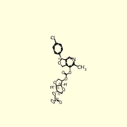 Cc1ncc2c(c1OC(=O)OC1CO[C@@H]3[C@@H](O[N+](=O)[O-])CO[C@H]13)CO[C@H]2c1ccc(Cl)cc1